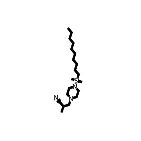 CCCCCCCCCC[Si](C)(C)N1CCN(CC(C)C#N)CC1